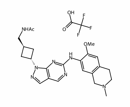 COc1cc2c(cc1Nc1ncc3cnn([C@H]4C[C@H](CNC(C)=O)C4)c3n1)CN(C)CC2.O=C(O)C(F)(F)F